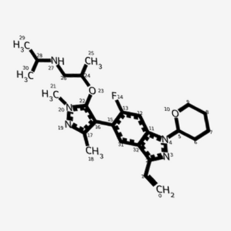 C=Cc1nn(C2CCCCO2)c2cc(F)c(-c3c(C)nn(C)c3OC(C)CNC(C)C)cc12